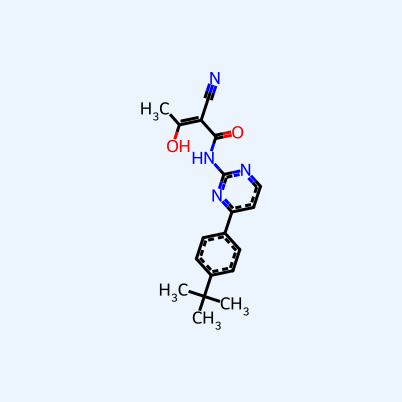 CC(O)=C(C#N)C(=O)Nc1nccc(-c2ccc(C(C)(C)C)cc2)n1